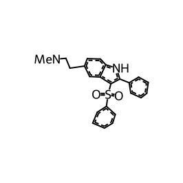 CNCCc1ccc2[nH]c(-c3ccccc3)c(S(=O)(=O)c3ccccc3)c2c1